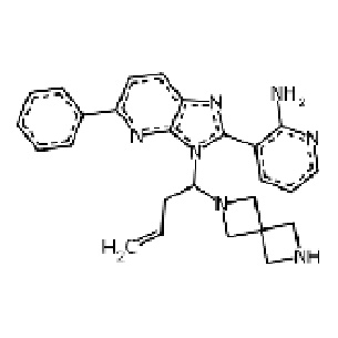 C=CCC(N1CC2(CNC2)C1)n1c(-c2cccnc2N)nc2ccc(-c3ccccc3)nc21